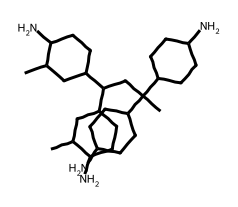 CC1CC(C(CC(C)(C2CCC(N)CC2)C2CCC(N)CC2)C2CCC(N)C(C)C2)CCC1N